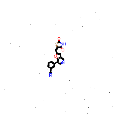 N#Cc1cccc(-c2cncc3cc(C=C4SC(=O)NC4=O)oc23)c1